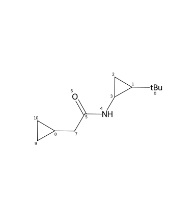 CC(C)(C)C1CC1NC(=O)CC1CC1